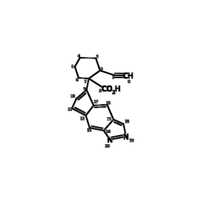 C#CC1CCCCC1(C(=O)O)C1=CC=c2cc3c(cc21)=CN=N3